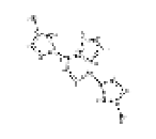 Brc1ccc(-c2ccc(-c3ccc(Br)s3)c3scnc23)s1